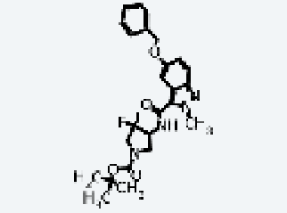 Cn1nc2ccc(OCc3ccccc3)cc2c1C(=O)NC1CN(C(=O)OC(C)(C)C)CC1(F)F